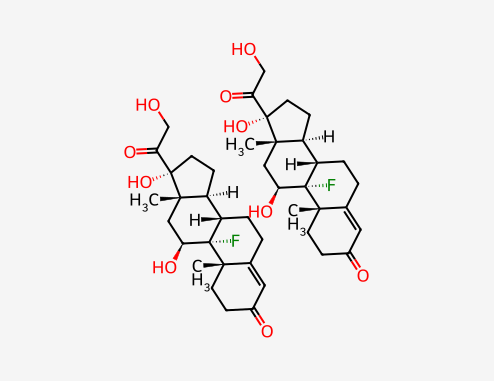 C[C@]12CCC(=O)C=C1CC[C@H]1[C@@H]3CC[C@](O)(C(=O)CO)[C@@]3(C)C[C@H](O)[C@@]12F.C[C@]12CCC(=O)C=C1CC[C@H]1[C@@H]3CC[C@](O)(C(=O)CO)[C@@]3(C)C[C@H](O)[C@@]12F